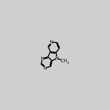 Cn1c2ccncc2c2ncncc21